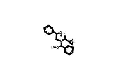 CCOC(c1ccccc1)N(CC(O)c1ccccc1)C(=O)C1CO1